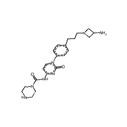 NC1CN(CCCc2ccc(-n3ccc(NC(=O)N4CCNCC4)nc3=O)cc2)C1